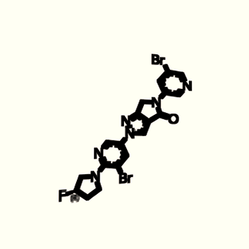 O=C1c2cn(-c3cnc(N4CC[C@@H](F)C4)c(Br)c3)nc2CN1c1cncc(Br)c1